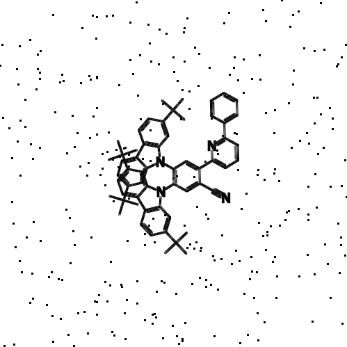 CC(C)(C)c1ccc2c3ccc(C(C)(C)C)cc3n(-c3cc(C#N)c(-c4cccc(-c5ccccc5)n4)cc3-n3c4cc(C(C)(C)C)ccc4c4ccc(C(C)(C)C)cc43)c2c1